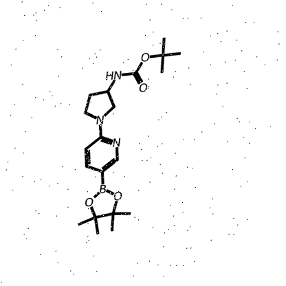 CC(C)(C)OC(=O)NC1CCN(c2ccc(B3OC(C)(C)C(C)(C)O3)cn2)C1